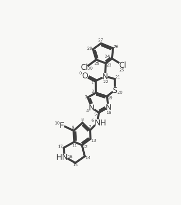 O=C1c2cnc(Nc3cc(F)c4c(c3)CCNC4)nc2SCN1c1c(Cl)cccc1Cl